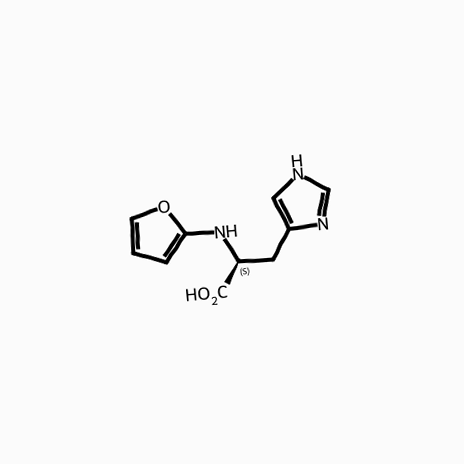 O=C(O)[C@H](Cc1c[nH]cn1)Nc1ccco1